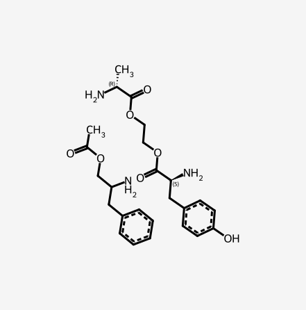 CC(=O)OCC(N)Cc1ccccc1.C[C@@H](N)C(=O)OCCOC(=O)[C@@H](N)Cc1ccc(O)cc1